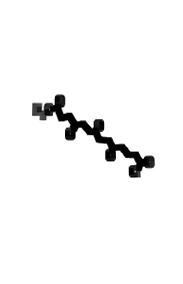 CC(=O)CCC(=O)CCC(=O)CCC(=O)CCCC(=O)Cl